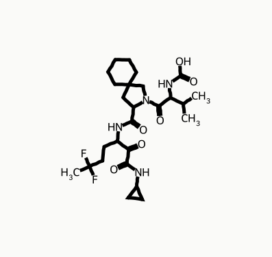 CC(C)C(NC(=O)O)C(=O)N1CC2(CCCCC2)CC1C(=O)NC(CCC(C)(F)F)C(=O)C(=O)NC1CC1